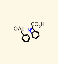 CC(=O)OCc1ccccc1.O=C(O)C1=Nc2ccccc21